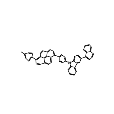 Cc1ccc(-c2ccc3ccc4c(-c5ccc(-n6c7ccccc7c7cc(-c8cccc9ccccc89)ccc76)cc5)ccc5ccc2c3c54)cc1